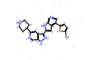 CC(=O)c1ccc(-c2cncc3[nH]c(-c4n[nH]c5cnc(C6CCNCC6)cc45)cc23)s1